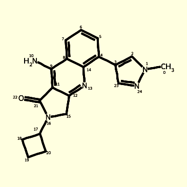 Cn1cc(-c2cccc3c(N)c4c(nc23)CN(C2CCC2)C4=O)cn1